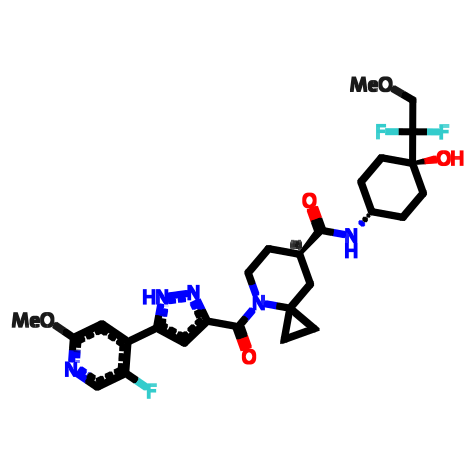 COCC(F)(F)[C@]1(O)CC[C@H](NC(=O)[C@@H]2CCN(C(=O)c3cc(-c4cc(OC)ncc4F)[nH]n3)C3(CC3)C2)CC1